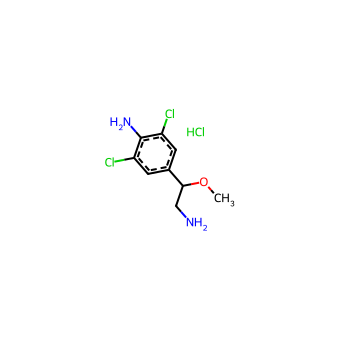 COC(CN)c1cc(Cl)c(N)c(Cl)c1.Cl